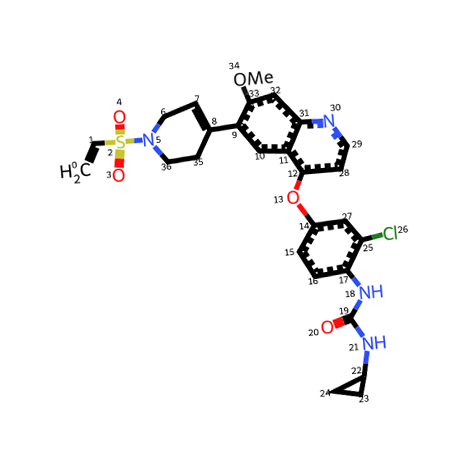 C=CS(=O)(=O)N1CC=C(c2cc3c(Oc4ccc(NC(=O)NC5CC5)c(Cl)c4)ccnc3cc2OC)CC1